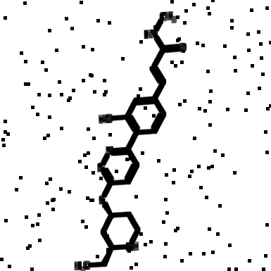 CC[C@H]1C[C@@H](Sc2ccc(-c3ccc(/C=C/C(=O)NC)cc3O)nn2)CCN1